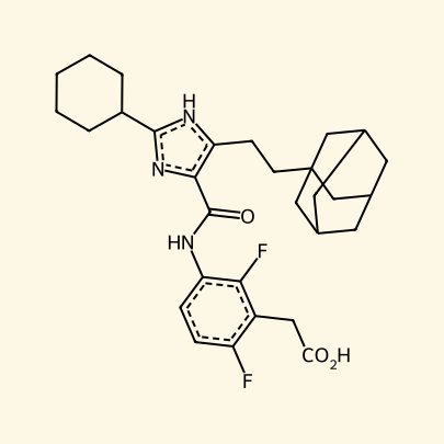 O=C(O)Cc1c(F)ccc(NC(=O)c2nc(C3CCCCC3)[nH]c2CCC23CC4CC(CC(C4)C2)C3)c1F